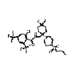 CCCS(=O)(=O)N1CCN(C2(CNC(=O)c3c(Cl)cc(C(F)(F)F)cc3C(F)(F)F)CCC(F)(F)CC2)CC1